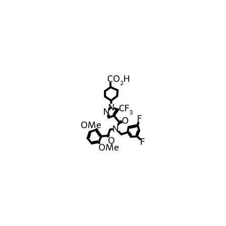 COc1cccc(OC)c1C(=O)CN(Cc1cc(F)cc(F)c1)C(=O)c1cnn(C2CCC(C(=O)O)CC2)c1C(F)(F)F